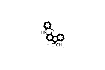 CC1(C)c2ccccc2-c2c1ccc1c2Oc2ccccc2N1